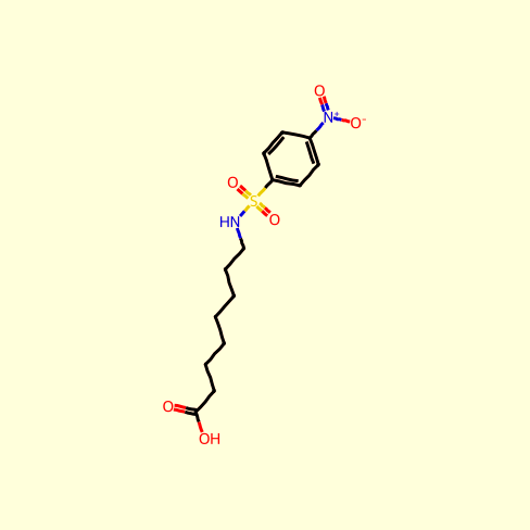 O=C(O)CCCCCCCNS(=O)(=O)c1ccc([N+](=O)[O-])cc1